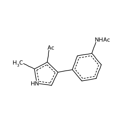 CC(=O)Nc1cccc(-c2c[nH]c(C)c2C(C)=O)c1